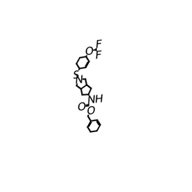 O=C(NC1CC2CN(SC3C=CC(OC(F)F)CC3)CC2C1)OCC1=CCCC=C1